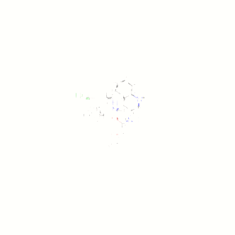 CCOCC(=O)Nc1cnc2ccccc2c1NC(CC)C1(C(=O)O)CC1.Cl